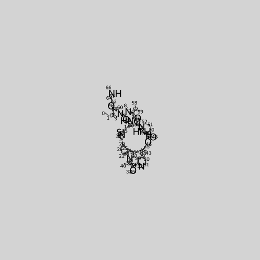 CC[C@H]1CN(C(=O)N(C)[C@H](C(=O)N[C@H]2Cc3nc(cs3)-c3ccc4c(c3)c(c(-c3cccnc3[C@H](C)OC)n4CC)CC(C)(C)COC(=O)[C@@H]3CCCN(N3)C2=O)C(C)C)C[C@@H]1OCCNC